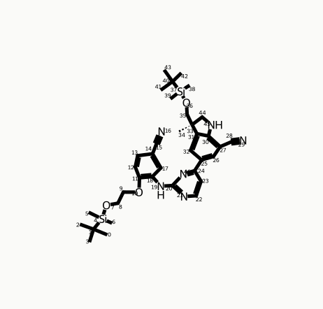 CC(C)(C)[Si](C)(C)OCCOc1ccc(C#N)cc1Nc1nccc(-c2cc(C#N)c3c(c2)[C@@](C)(CO[Si](C)(C)C(C)(C)C)CN3)n1